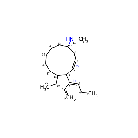 C=C/C(=C\CC)C1/C=C\CC(NC)CCCCCC1CC